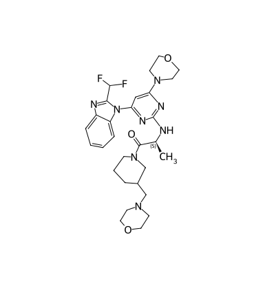 C[C@H](Nc1nc(N2CCOCC2)cc(-n2c(C(F)F)nc3ccccc32)n1)C(=O)N1CCCC(CN2CCOCC2)C1